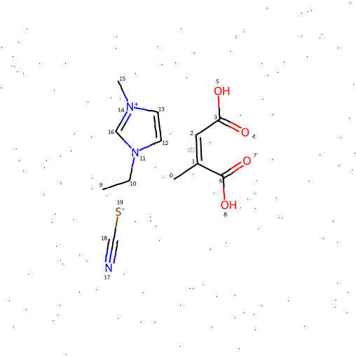 C/C(=C/C(=O)O)C(=O)O.CCn1cc[n+](C)c1.N#C[S-]